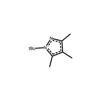 Cc1nn(C(C)(C)C)c(C)c1C